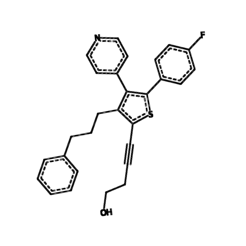 OCCC#Cc1sc(-c2ccc(F)cc2)c(-c2ccncc2)c1CCCc1ccccc1